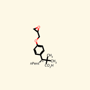 CCCCC[C@@H](c1ccc(OCC2CO2)cc1)C(C)(C)C(=O)O